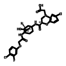 O=C(O)CN1C[C@H](C(=O)NC23CCC(NC(=O)COc4ccc(Cl)c(F)c4)(CC2)[C@@H](O)C3)Oc2ccc(Cl)cc21